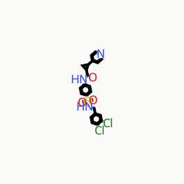 O=C(Nc1ccc(S(=O)(=O)NCc2ccc(Cl)c(Cl)c2)cc1)C1CC1c1ccncc1